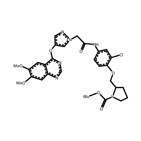 COc1cc2ncnc(Oc3cnn(CC(=O)Nc4ccc(OCC5CCCN5C(=O)OC(C)(C)C)c(Cl)c4)c3)c2cc1OC